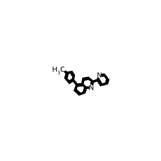 Cc1ccc(-c2cccc3nc(-c4ccccn4)ccc23)cc1